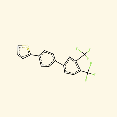 FC(F)(F)c1ccc(-c2ccc(-c3cccs3)cc2)cc1C(F)(F)F